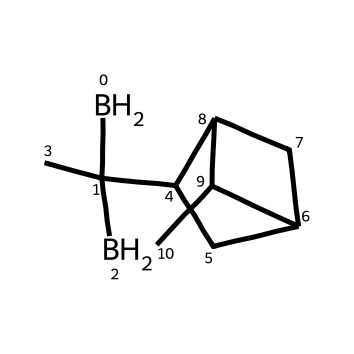 BC(B)(C)C1CC2CC1C2C